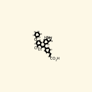 CCC(=C(c1ccc(C=CC(=O)O)cc1)c1ccc2[nH]ncc2c1)c1ccc(Oc2ccccc2)cc1Cl